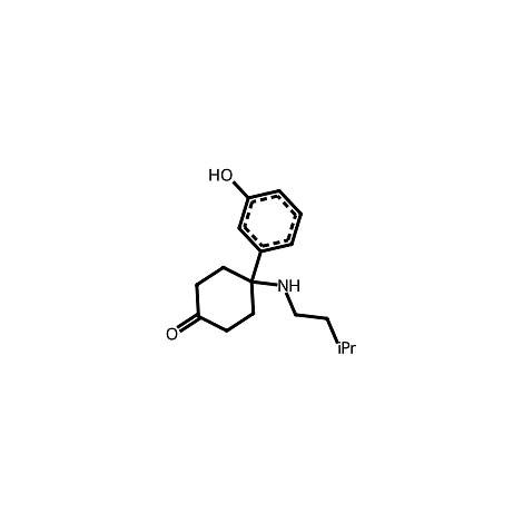 CC(C)CCNC1(c2cccc(O)c2)CCC(=O)CC1